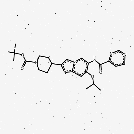 CC(C)Oc1cc2nc(C3CCN(C(=O)OC(C)(C)C)CC3)cn2cc1NC(=O)c1ccncn1